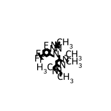 CCN(C)c1nc2c(cc1CN(Cc1cc(F)cc(C(F)(F)F)c1)c1nnn(C)n1)c(C)nn2CC